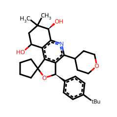 CC(C)(C)c1ccc([C@H]2OC3(CCCC3)c3c4c(nc(C5CCOCC5)c32)[C@H](O)C(C)(C)CC4O)cc1